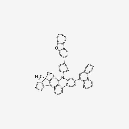 CC1(C)c2ccccc2-c2ccc(N(c3ccc(-c4ccc5c(c4)oc4ccccc45)cc3)c3cc(-c4cc5ccccc5c5ccccc45)ccc3-c3ccccc3)cc21